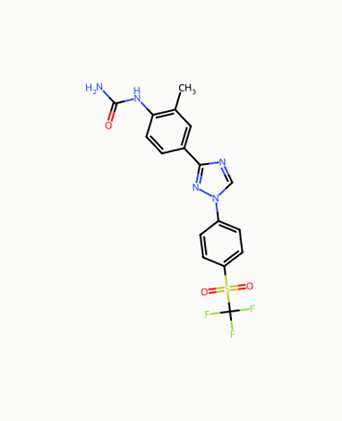 Cc1cc(-c2ncn(-c3ccc(S(=O)(=O)C(F)(F)F)cc3)n2)ccc1NC(N)=O